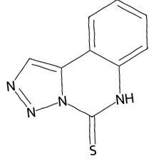 S=c1[nH]c2ccccc2c2cnnn12